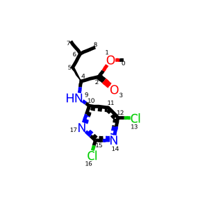 COC(=O)[C@H](CC(C)C)Nc1cc(Cl)nc(Cl)n1